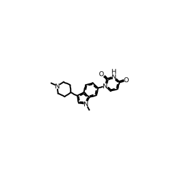 CN1CCC(c2cn(C)c3cc(-n4ccc(=O)[nH]c4=O)ccc23)CC1